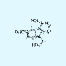 Nc1ncnc2c1c1cc(C=O)ccc1n2CC(=O)O